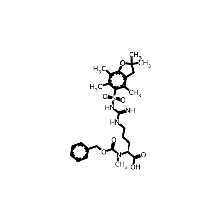 Cc1c(C)c(S(=O)(=O)NC(=N)NCCC[C@@H](C(=O)O)N(C)C(=O)OCc2ccccc2)c(C)c2c1OC(C)(C)C2